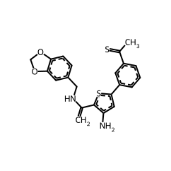 C=C(NCc1ccc2c(c1)OCO2)c1sc(-c2cccc(C(C)=S)c2)cc1N